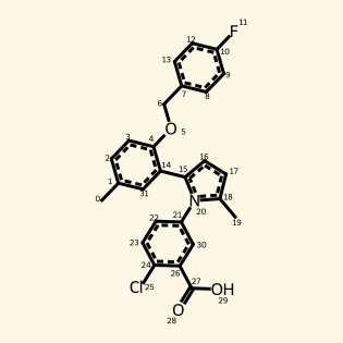 Cc1ccc(OCc2ccc(F)cc2)c(-c2ccc(C)n2-c2ccc(Cl)c(C(=O)O)c2)c1